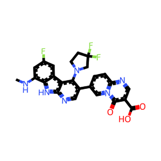 CNc1cc(F)cc2c1[nH]c1ncc(-c3ccc4ncc(C(=O)O)c(=O)n4c3)c(N3CCC(F)(F)C3)c12